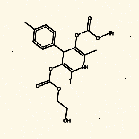 CC1=C(OC(=O)OCCO)C(c2ccc(C)cc2)C(OC(=O)OC(C)C)=C(C)N1